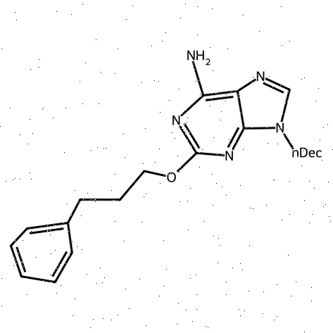 CCCCCCCCCCn1cnc2c(N)nc(OCCCc3ccccc3)nc21